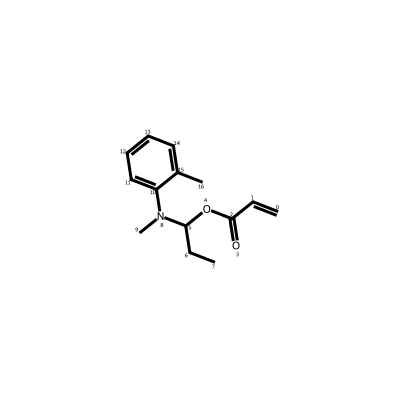 C=CC(=O)OC(CC)N(C)c1ccccc1C